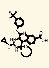 O=C(O)c1ccc2c3c(c(Nc4cccc(C(F)(F)F)c4)nc2c1)NC(NC1CC1)NC31CCCCCCCCC1